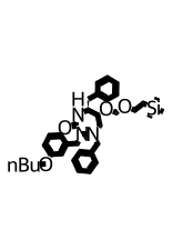 CCCCOc1cccc(CN2C(=O)N[C@H](Cc3ccccc3)[C@H](OCOCC[Si](C)(C)C)CN2Cc2ccccc2)c1